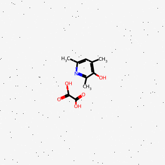 Cc1cc(C)c(O)c(C)n1.O=C(O)C(=O)O